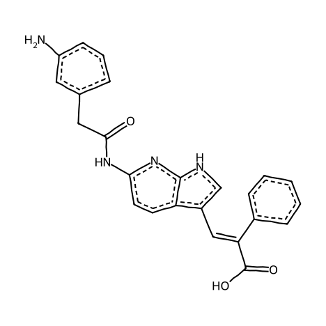 Nc1cccc(CC(=O)Nc2ccc3c(/C=C(/C(=O)O)c4ccccc4)c[nH]c3n2)c1